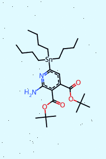 CCC[CH2][Sn]([CH2]CCC)([CH2]CCC)[c]1cc(C(=O)OC(C)(C)C)c(C(=O)OC(C)(C)C)c(N)n1